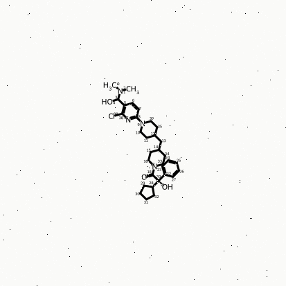 CN(C)C(O)c1ccc(N2CCC(CC3CCN(C(=O)[C@](O)(c4ccccc4)C4CCCC4)CC3)CC2)nc1Cl